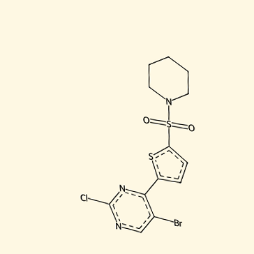 O=S(=O)(c1ccc(-c2nc(Cl)ncc2Br)s1)N1CCCCC1